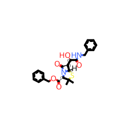 CC1(C)S[C@@H]2[C@H]([C@H](O)C(=O)NCc3ccccc3)C(=O)N2[C@H]1C(=O)OCc1ccccc1